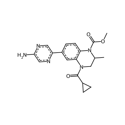 COC(=O)N1c2ccc(-c3cnc(N)cn3)cc2N(C(=O)C2CC2)CC1C